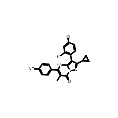 Cc1c(-c2ccc(C#N)cc2)[nH]c2c(-c3ccc(Cl)cc3Cl)c(C3CC3)nn2c1=O